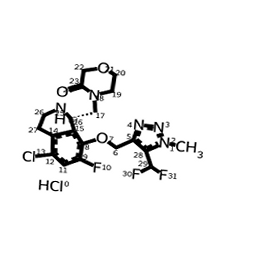 Cl.Cn1nnc(COc2c(F)cc(Cl)c3c2[C@@H](CN2CCOCC2=O)NCC3)c1C(F)F